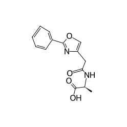 C[C@H](NC(=O)Cc1coc(-c2ccccc2)n1)C(=O)O